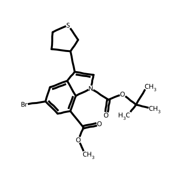 COC(=O)c1cc(Br)cc2c(C3CCSC3)cn(C(=O)OC(C)(C)C)c12